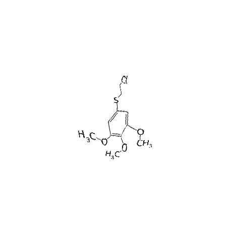 COc1cc(SCCCl)cc(OC)c1OC